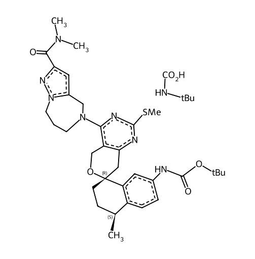 CC(C)(C)NC(=O)O.CSc1nc2c(c(N3CCCn4nc(C(=O)N(C)C)cc4C3)n1)CO[C@]1(CC[C@H](C)c3ccc(NC(=O)OC(C)(C)C)cc31)C2